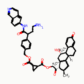 C[C@@H]1CC2[C@@H]3CCC4=CC(=O)C=C[C@]4(C)C3[C@@H](O)C[C@]2(C)[C@H]1C(=O)COC(=O)C1CC1C(=O)OCc1ccc(C(CCN)C(=O)Nc2ccc3cnccc3c2)cc1